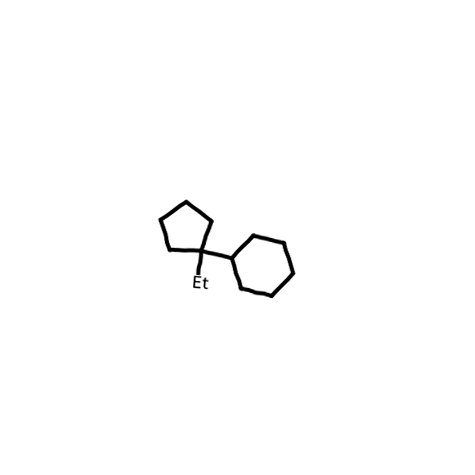 [CH2]CC1(C2CCCCC2)CCCC1